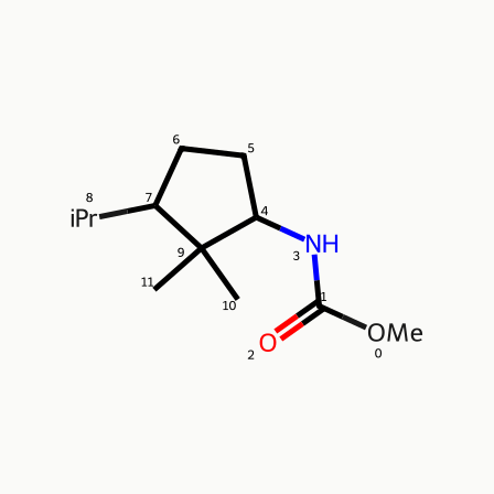 COC(=O)NC1CCC(C(C)C)C1(C)C